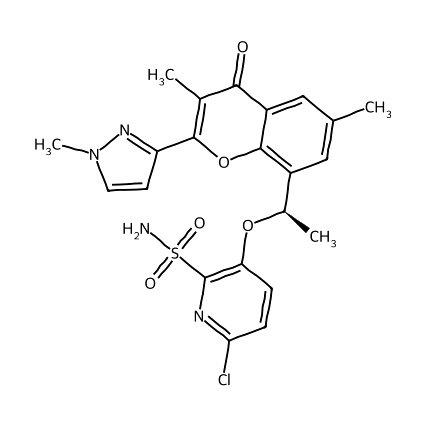 Cc1cc([C@@H](C)Oc2ccc(Cl)nc2S(N)(=O)=O)c2oc(-c3ccn(C)n3)c(C)c(=O)c2c1